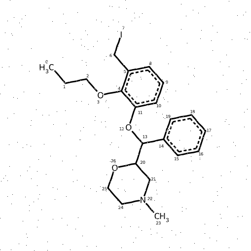 CCCOc1c(CI)cccc1OC(c1ccccc1)C1CN(C)CCO1